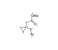 COC(=O)CC1(SC(C)=O)CC1